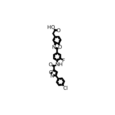 O=C(O)Cc1ccc2oc(-c3ccc(NC(=O)c4cc(-c5ccc(Cl)cc5)no4)c(F)c3)nc2c1